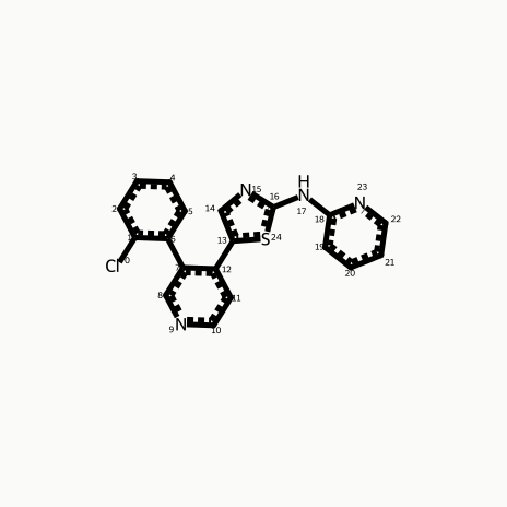 Clc1ccccc1-c1cnccc1-c1cnc(Nc2ccccn2)s1